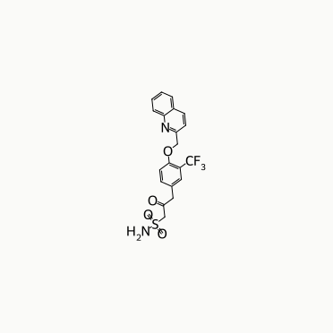 NS(=O)(=O)CC(=O)Cc1ccc(OCc2ccc3ccccc3n2)c(C(F)(F)F)c1